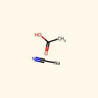 CC(=O)O.N#[C][Na]